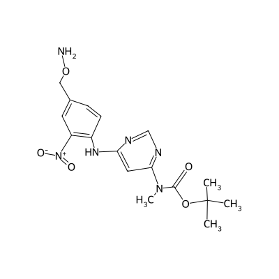 CN(C(=O)OC(C)(C)C)c1cc(Nc2ccc(CON)cc2[N+](=O)[O-])ncn1